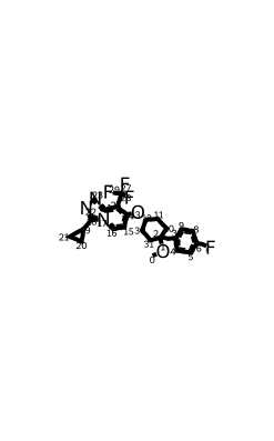 COC1(c2ccc(F)cc2)CCC(Oc2ccn3c(C4CC4)nnc3c2C(F)(F)F)CC1